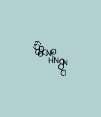 O=C(CCNc1ccnc2cc(Cl)ccc12)N1CCC2(CC1)OOC1(O2)C2CC3CC(C2)CC1C3